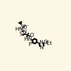 CCOc1cncc(-c2ccc(NC(=O)C(C)(C)c3csc(N[S+]([O-])C4CC4)n3)c(F)c2)n1